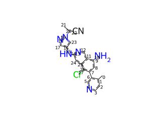 Cc1ccncc1-c1cc(N)c2cnc(Nc3cnn(C(C)C#N)c3)cc2c1Cl